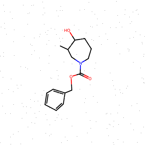 CC1CN(C(=O)OCc2ccccc2)CCCC1O